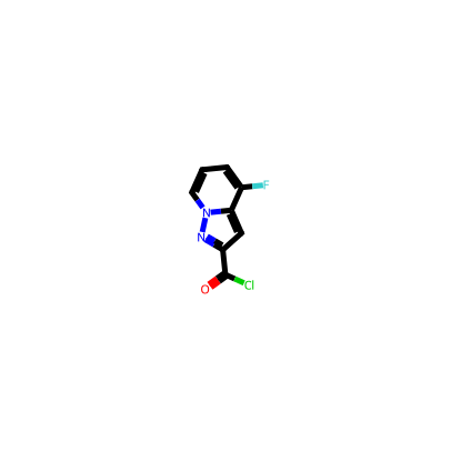 O=C(Cl)c1cc2c(F)cccn2n1